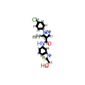 CCCc1c(C(=O)Nc2ccc3sc(CO)nc3c2)cnn1-c1ccc(Cl)cc1